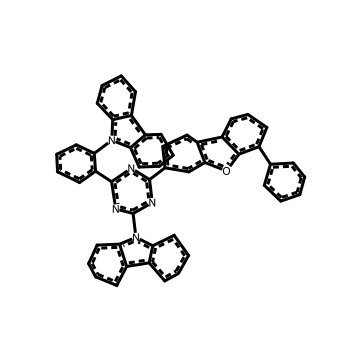 c1ccc(-c2cccc3c2oc2cc(-c4nc(-c5ccccc5-n5c6ccccc6c6ccccc65)nc(-n5c6ccccc6c6ccccc65)n4)ccc23)cc1